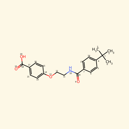 CC(C)(C)c1ccc(C(=O)NCCOc2ccc(C(=O)O)cc2)cc1